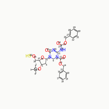 C[Si](C)(C)OC1CC(N2CN(C(=O)OCc3ccccc3)C(NC(=O)OCc3ccccc3)=NC2=O)OC1COS